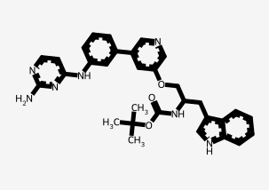 CC(C)(C)OC(=O)NC(COc1cncc(-c2cccc(Nc3ccnc(N)n3)c2)c1)Cc1c[nH]c2ccccc12